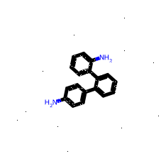 Nc1ccc(-c2ccccc2-c2ccccc2N)cc1